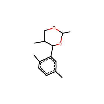 Cc1ccc(C)c(C2OC(C)OCC2C)c1